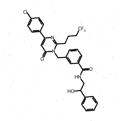 O=C(NCC(O)c1ccccc1)c1cccc(Cn2c(CCCC(F)(F)F)nc(-c3ccc(Cl)cc3)cc2=O)c1